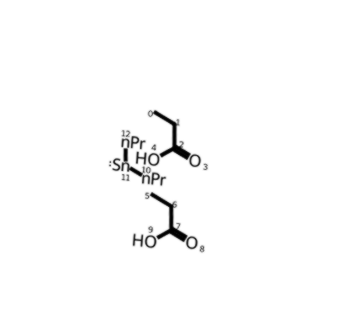 CCC(=O)O.CCC(=O)O.CC[CH2][Sn][CH2]CC